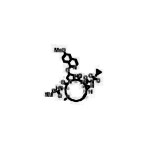 COc1ccc2c(OC3C[C@H]4C(=O)N[C@]5(C(=O)NS(=O)(=O)C6CC6)C[C@H]5/C=C\CCCN(C)C[C@H](NC(=O)OC(C)(C)C)C(=O)N4C3)nccc2c1